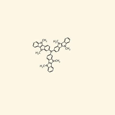 Cn1c2ccccc2c2c1c1ccc(N(c3ccc4c(c3)n(C)c3c5ccccc5n(C)c43)c3ccc4c(c3)n(C)c3c5ccccc5n(C)c43)cc1n2C